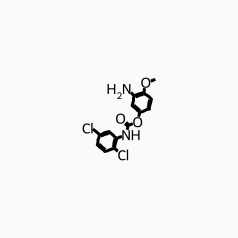 COc1ccc(OC(=O)Nc2cc(Cl)ccc2Cl)cc1N